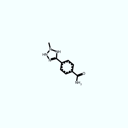 CN1NN=C(c2ccc(C(N)=O)cc2)N1